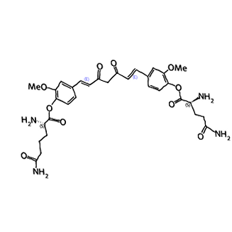 COc1cc(/C=C/C(=O)CC(=O)/C=C/c2ccc(OC(=O)[C@@H](N)CCC(N)=O)c(OC)c2)ccc1OC(=O)[C@@H](N)CCCC(N)=O